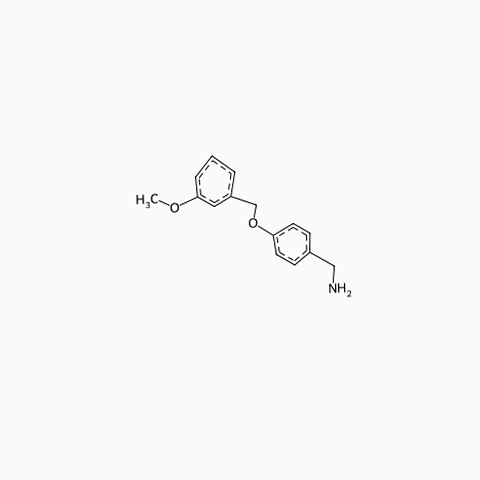 COc1cccc(COc2ccc(CN)cc2)c1